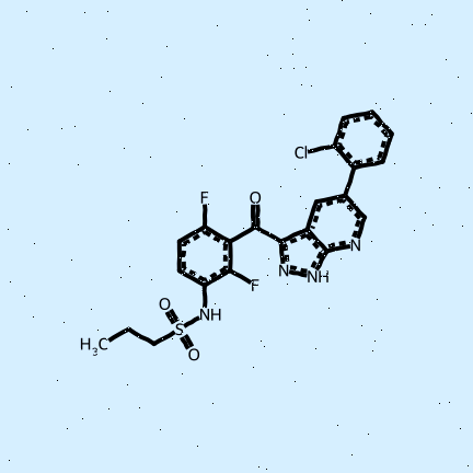 CCCS(=O)(=O)Nc1ccc(F)c(C(=O)c2n[nH]c3ncc(-c4ccccc4Cl)cc23)c1F